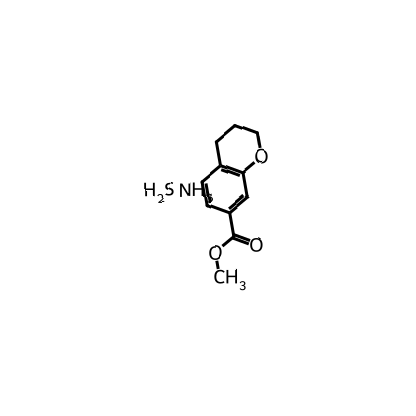 COC(=O)c1ccc2c(c1)OCCC2.N.S